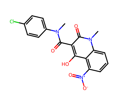 CN(C(=O)c1c(O)c2c([N+](=O)[O-])cccc2n(C)c1=O)c1ccc(Cl)cc1